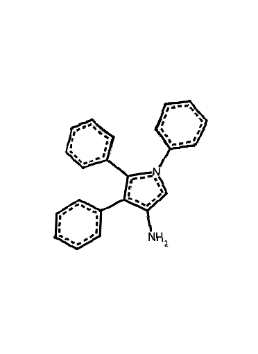 Nc1cn(-c2ccccc2)c(-c2ccccc2)c1-c1ccccc1